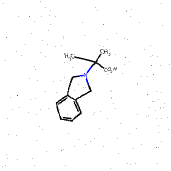 CC(C)(C(=O)O)N1Cc2ccccc2C1